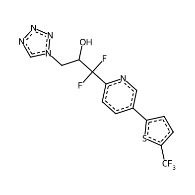 OC(Cn1cnnn1)C(F)(F)c1ccc(-c2ccc(C(F)(F)F)s2)cn1